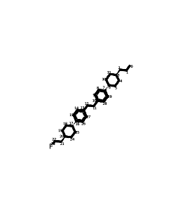 CCC[C@H]1CC[C@H](c2ccc(CCc3ccc([C@H]4CC[C@H](CCF)CC4)cc3)cc2)CC1